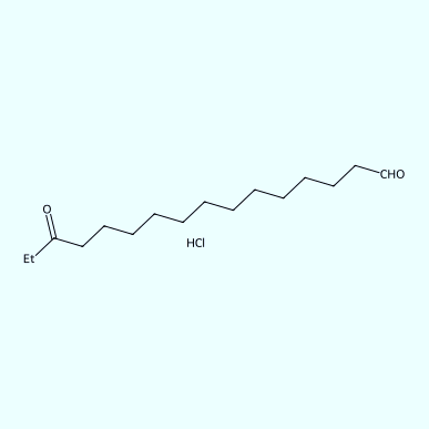 CCC(=O)CCCCCCCCCCCCC=O.Cl